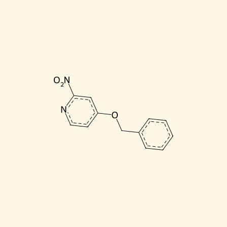 O=[N+]([O-])c1cc(OCc2ccccc2)ccn1